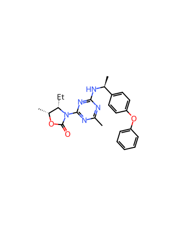 CC[C@H]1[C@@H](C)OC(=O)N1c1nc(C)nc(N[C@@H](C)c2ccc(Oc3ccccc3)cc2)n1